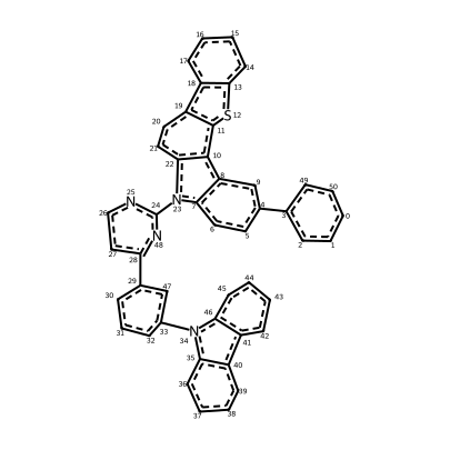 c1ccc(-c2ccc3c(c2)c2c4sc5ccccc5c4ccc2n3-c2nccc(-c3cccc(-n4c5ccccc5c5ccccc54)c3)n2)cc1